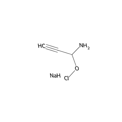 C#CC(N)OCl.[NaH]